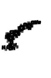 COc1cncc(OC2CCN(c3ccc(-c4cc(OCC(C)(C)O)cn5ncc(C#N)c45)cn3)CC2)c1